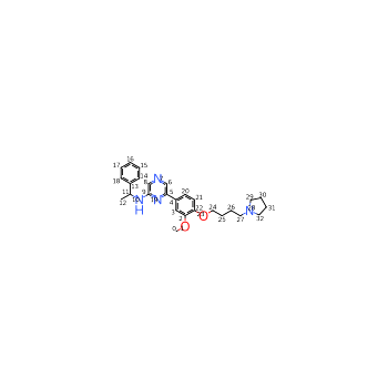 COc1cc(-c2cncc(NC(C)c3ccccc3)n2)ccc1OCCCCN1CCCC1